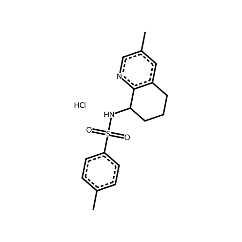 Cc1ccc(S(=O)(=O)NC2CCCc3cc(C)cnc32)cc1.Cl